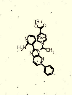 CC(N1CC2CCC1CN2C(=O)OC(C)(C)C)n1c(-c2cccnc2N)nc2ccc(-c3ccccc3)nc21